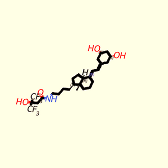 C[C@]12CCC/C(=C\C=C3C[C@@H](O)C[C@H](O)C3)[C@@H]1CC[C@@H]2CCCCNC(=O)CC(O)(C(F)(F)F)C(F)(F)F